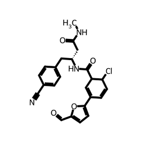 CNC(=O)C[C@@H](Cc1ccc(C#N)cc1)NC(=O)C1C=C(c2ccc(C=O)o2)C=CC1Cl